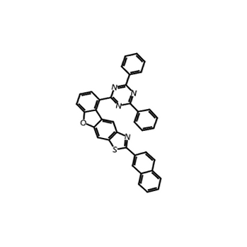 c1ccc(-c2nc(-c3ccccc3)nc(-c3cccc4oc5cc6sc(-c7ccc8ccccc8c7)nc6cc5c34)n2)cc1